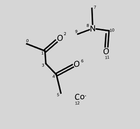 CC(=O)CC(C)=O.CN(C)C=O.[Co]